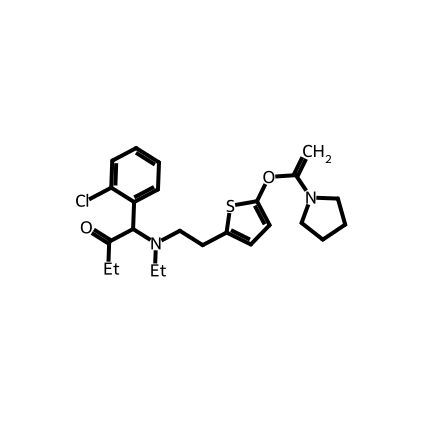 C=C(Oc1ccc(CCN(CC)C(C(=O)CC)c2ccccc2Cl)s1)N1CCCC1